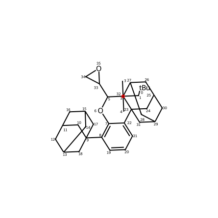 CC(C)(C)CC(C)(C)C(Oc1c(C23CC4CC(CC(C4)C2)C3)cccc1C12CC3CC(CC(C3)C1)C2)C1CO1